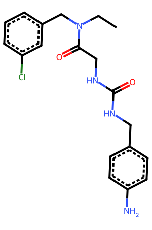 CCN(Cc1cccc(Cl)c1)C(=O)CNC(=O)NCc1ccc(N)cc1